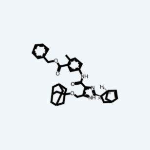 Cc1ccc(NC(=O)c2nc([C@@H]3CC4C=C[C@H]3C4)[nH]c2COC23CC4CC(CC(C4)C2)C3)cc1C(=O)OCc1ccccc1